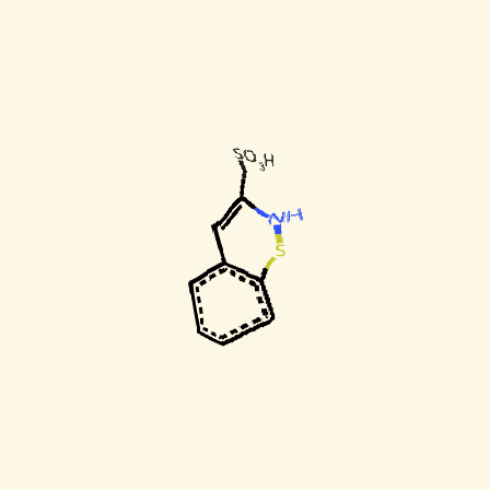 O=S(=O)(O)C1=Cc2ccccc2SN1